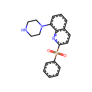 O=S(=O)(c1ccccc1)c1ccc2cccc(N3CCNCC3)c2n1